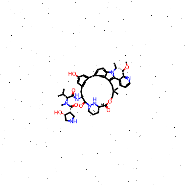 CCn1c(-c2cccnc2[C@H](C)OC)c2c3cc(ccc31)-c1cc(O)cc(c1)C[C@H](NC(=O)C(C(C)C)N(C)C(=O)[C@@H]1CNC[C@@H]1O)C(=O)N1CCC[C@H](N1)C(=O)OCC(C)(C)C2